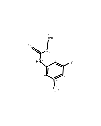 CC(C)(C)OC(=O)Nc1cc(Cl)cc(C(F)(F)F)c1